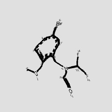 COc1ccc(Br)cc1N(C=O)C(F)F